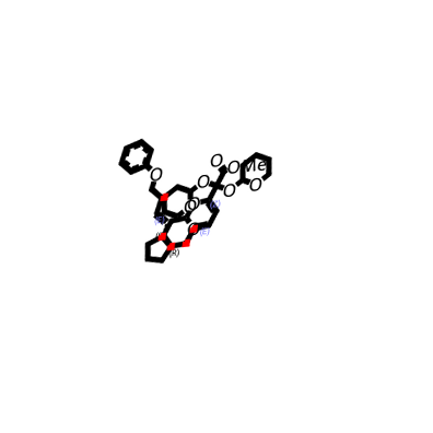 COC(=O)C(OC1CCCCO1)(OC1CCCCO1)/C(=C/C=C/C[C@H]1CCC[C@@H]1/C=C/CCOc1ccccc1)OC1CCCCO1